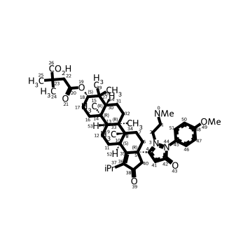 CNCCn1c([C@@]23CC[C@]4(C)[C@H](CC[C@@H]5[C@@]6(C)CC[C@H](OC(=O)CC(C)(C)C(=O)O)C(C)(C)[C@@H]6CC[C@]54C)C2=C(C(C)C)C(=O)C3)cc(=O)n1-c1ccc(OC)cc1